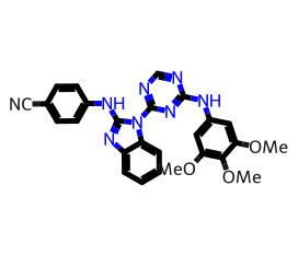 COc1cc(Nc2ncnc(-n3c(Nc4ccc(C#N)cc4)nc4ccccc43)n2)cc(OC)c1OC